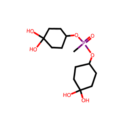 CP(=O)(OC1CCC(O)(O)CC1)OC1CCC(O)(O)CC1